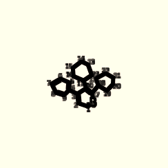 b1ccc(-c2ccccc2)c(C2CCCCC2)c1C1CCCCC1